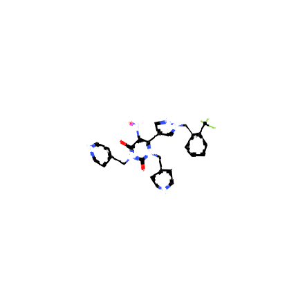 O=c1c([N+](=O)[O-])c(-c2cnn(Cc3ccccc3C(F)(F)F)c2)n(Cc2ccncc2)c(=O)n1Cc1ccncc1